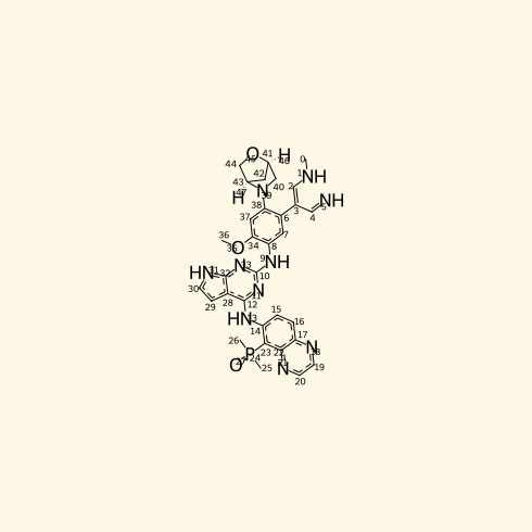 CN/C=C(\C=N)c1cc(Nc2nc(Nc3ccc4nccnc4c3P(C)(C)=O)c3cc[nH]c3n2)c(OC)cc1N1C[C@H]2C[C@@H]1CO2